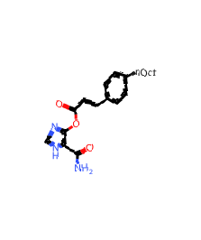 CCCCCCCCc1ccc(C=CC(=O)Oc2nc[nH]c2C(N)=O)cc1